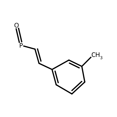 Cc1cccc(C=CP=O)c1